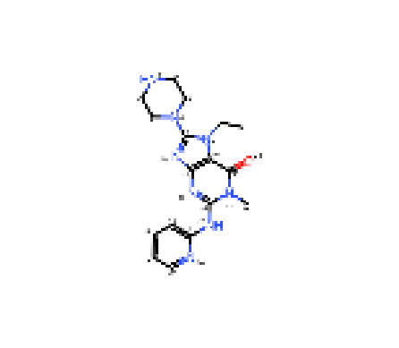 CCn1c(N2CCNCC2)nc2nc(Nc3ccccn3)n(C)c(=O)c21